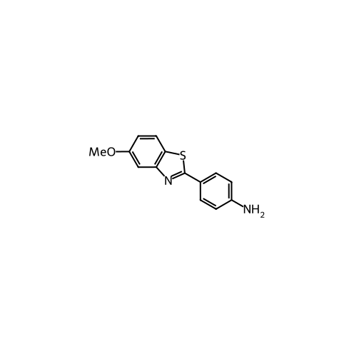 COc1ccc2sc(-c3ccc(N)cc3)nc2c1